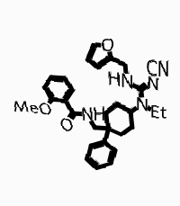 CCN(/C(=N/C#N)NCc1ccco1)C1CCC(CNC(=O)c2ccccc2OC)(c2ccccc2)CC1